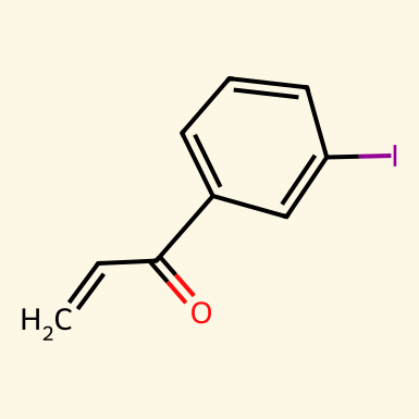 C=CC(=O)c1cccc(I)c1